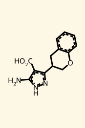 Nc1[nH]nc(C2COc3ccccc3C2)c1C(=O)O